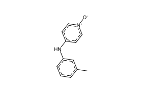 Cc1cccc(Nc2cc[n+]([O-])cc2)c1